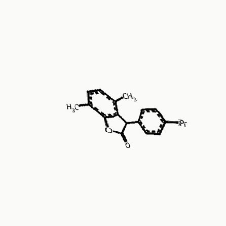 Cc1ccc(C)c2c1OC(=O)C2c1ccc(C(C)C)cc1